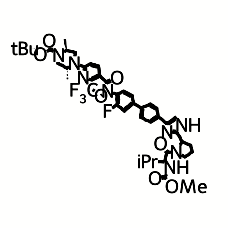 COC(=O)NC(C(=O)N1CCCC1c1nc(-c2ccc(-c3ccc(N(OC(F)(F)F)C(=O)c4ccc(N5C[C@H](C)N(C(=O)OC(C)(C)C)C[C@H]5C)nc4)c(F)c3)cc2)c[nH]1)C(C)C